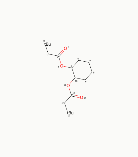 CC(C)(C)CC(=O)OC1CCCCC1OC(=O)CC(C)(C)C